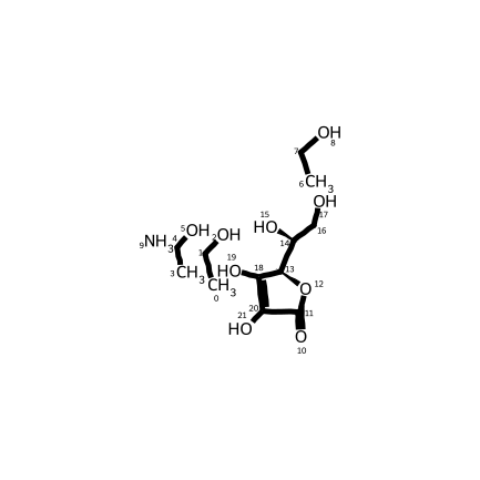 CCO.CCO.CCO.N.O=C1O[C@H]([C@@H](O)CO)C(O)=C1O